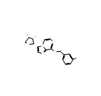 O[C@@H]1[C@H](O)CS[C@H]1c1cnc2c(SCc3cccc(Cl)c3)nccn12